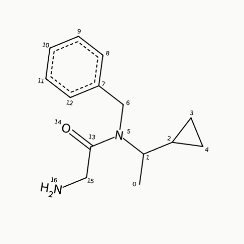 CC(C1CC1)N(Cc1ccccc1)C(=O)CN